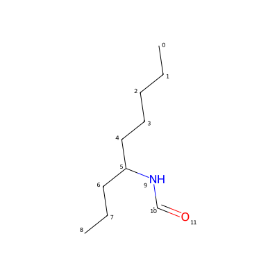 CCCCCC(CCC)N[C]=O